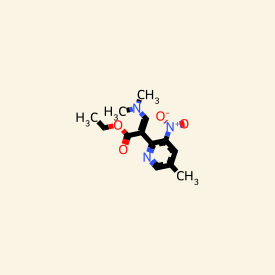 CCOC(=O)C(=CN(C)C)c1ncc(C)cc1[N+](=O)[O-]